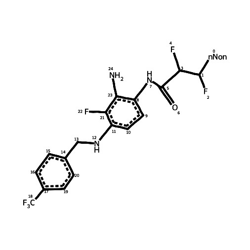 CCCCCCCCCC(F)C(F)C(=O)Nc1ccc(NCc2ccc(C(F)(F)F)cc2)c(F)c1N